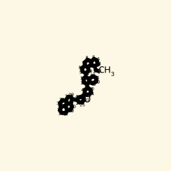 C/C=C\c1cccc2ccc3c(c12)=C=C(c1ccc(-c2ccc4oc5ccc(-c6ccc7ccc8cccc9ccc6c7c89)cc5c4c2)c2ccccc12)C=C=3